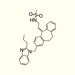 CCCc1nc2ccccc2n1Cc1ccc2c(c1)CCc1ccccc1C2=CCNS(C)(=O)=O